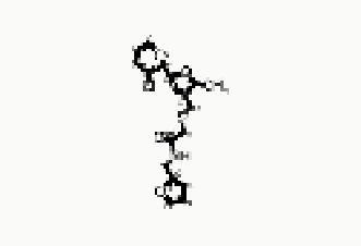 Cc1oc(-c2ccccc2Cl)nc1CSCC(=O)NCc1ccco1